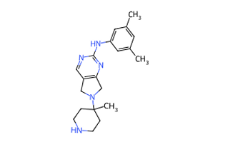 Cc1cc(C)cc(Nc2ncc3c(n2)CN(C2(C)CCNCC2)C3)c1